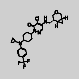 O=c1c(Cl)c(NC[C@@H]2COC[C@@H]3C[C@H]23)cnn1C1CCC(N(c2ccc(C(F)(F)F)cc2)C2CC2)CC1